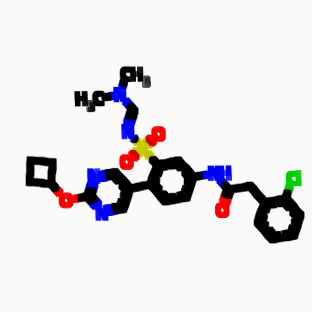 CN(C)/C=N/S(=O)(=O)c1cc(NC(=O)Cc2ccccc2Cl)ccc1-c1cnc(OC2CCC2)nc1